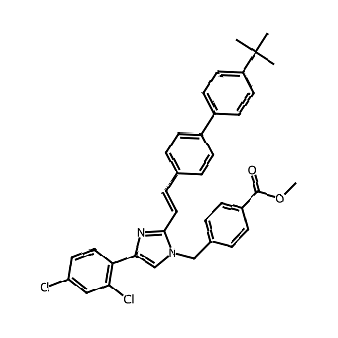 COC(=O)c1ccc(Cn2cc(-c3ccc(Cl)cc3Cl)nc2C=Cc2ccc(-c3ccc(C(C)(C)C)cc3)cc2)cc1